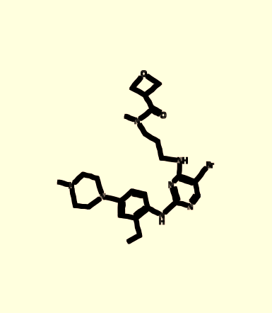 CCc1cc(N2CCN(C)CC2)ccc1Nc1ncc(Br)c(NCCCN(C)C(=O)C2COC2)n1